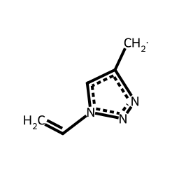 [CH2]c1cn(C=C)nn1